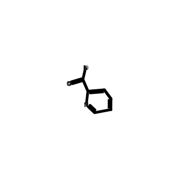 [N]C(=O)c1ccccn1